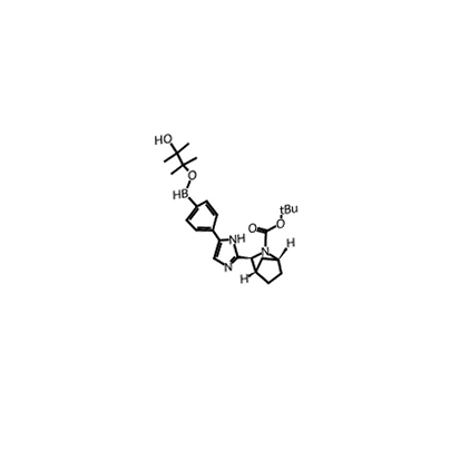 CC(C)(C)OC(=O)N1[C@@H]2CC[C@@H](C2)[C@H]1c1ncc(-c2ccc(BOC(C)(C)C(C)(C)O)cc2)[nH]1